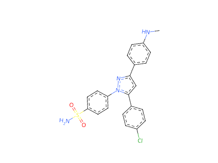 CNc1ccc(-c2cc(-c3ccc(Cl)cc3)n(-c3ccc(S(N)(=O)=O)cc3)n2)cc1